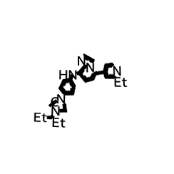 CCc1cc(-c2ccc(Nc3ccc(N4CCN(C(CC)CC)CC4)cc3)c3nccn23)ccn1